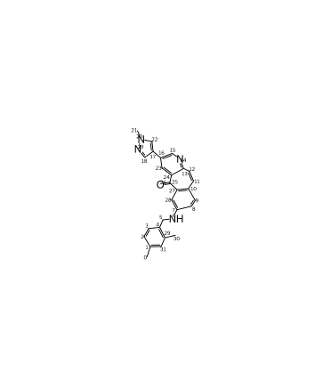 Cc1ccc(CNc2ccc3ccc4ncc(-c5cnn(C)c5)cc4c(=O)c3c2)c(C)c1